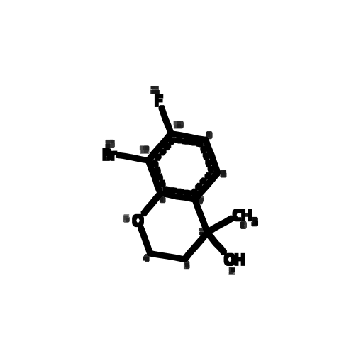 CC1(O)CCOc2c1ccc(F)c2Br